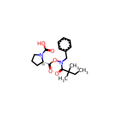 CCC(C)(C)C(=O)N(Cc1ccccc1)OC(=O)[C@@H]1CCCN1C(=O)O